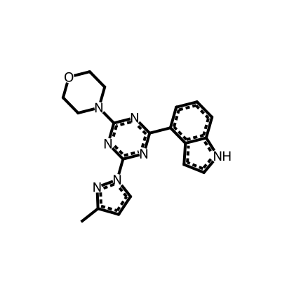 Cc1ccn(-c2nc(-c3cccc4[nH]ccc34)nc(N3CCOCC3)n2)n1